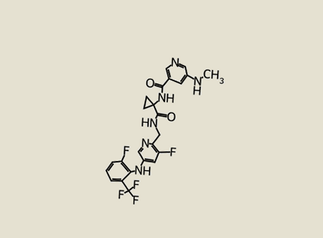 CNc1cncc(C(=O)NC2(C(=O)NCc3ncc(Nc4c(F)cccc4C(F)(F)F)cc3F)CC2)c1